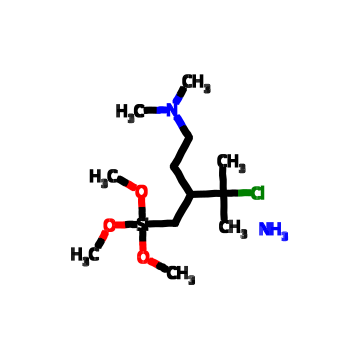 CO[Si](CC(CCN(C)C)C(C)(C)Cl)(OC)OC.N